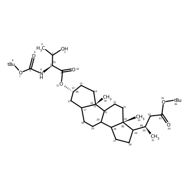 CC(O)[C@H](NC(=O)OC(C)(C)C)C(=O)O[C@@H]1CC[C@@]2(C)C(CCC3C2CC[C@@]2(C)C3CCC2[C@H](C)CC(=O)OC(C)(C)C)C1